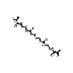 C=C(C)C(=O)OCCNC(=O)CCSCCC(=O)NCCOC(=O)C(=C)C